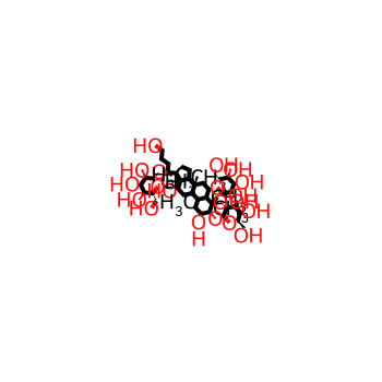 CC1(C)C2CC[C@]3(C)C(C[C@@H](O)[C@@H]4[C@@H]([C@](C)(CCCO)O[C@@H]5O[C@H](CO)[C@@H](O)[C@H](O)[C@H]5O)CC[C@]43C)[C@@]2(C)C[C@@H](O)[C@@H]1O[C@@H]1O[C@H](CO)[C@@H](O)[C@H](O)[C@H]1O[C@@H]1O[C@H](CO)[C@@H](O)[C@H](O)[C@H]1O